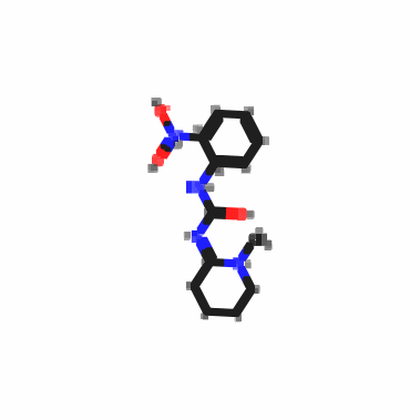 CN1CCCCC1=NC(=O)Nc1ccccc1[N+](=O)[O-]